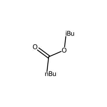 [CH2]CC([CH2])OC(=O)CCCC